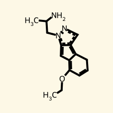 CCOC1=C2C=c3c(cnn3CC(C)N)=C2CC=C1